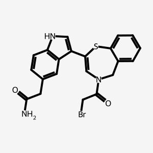 NC(=O)Cc1ccc2[nH]cc(C3=CN(C(=O)CBr)Cc4ccccc4S3)c2c1